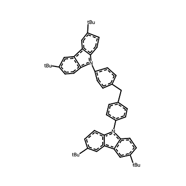 CC(C)(C)c1ccc2c(c1)c1cc(C(C)(C)C)ccc1n2-c1ccc(Cc2ccc(-n3c4ccc(C(C)(C)C)cc4c4cc(C(C)(C)C)ccc43)cc2)cc1